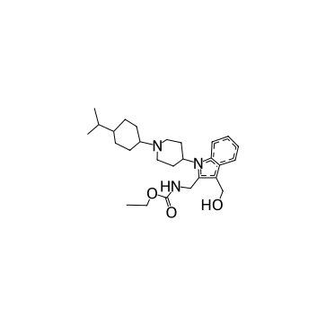 CCOC(=O)NCc1c(CO)c2ccccc2n1C1CCN(C2CCC(C(C)C)CC2)CC1